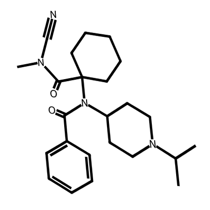 CC(C)N1CCC(N(C(=O)c2ccccc2)C2(C(=O)N(C)C#N)CCCCC2)CC1